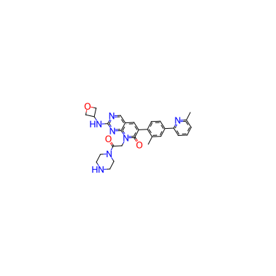 Cc1cccc(-c2ccc(-c3cc4cnc(NC5COC5)nc4n(CC(=O)N4CCNCC4)c3=O)c(C)c2)n1